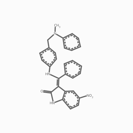 CN(Cc1ccc(N/C(=C2\C(=O)Nc3ccc([N+](=O)[O-])cc32)c2ccccc2)cc1)c1ccccc1